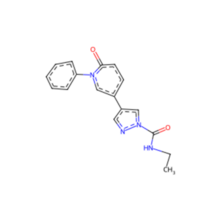 CCNC(=O)n1cc(-c2ccc(=O)n(-c3ccccc3)c2)cn1